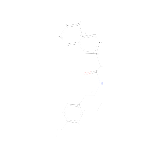 O=C(O)C[C@H](Cc1ccc(C(F)(F)F)cc1)NC(=O)Cc1ccc2ccccc2c1